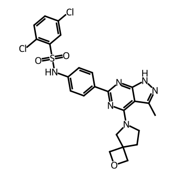 Cc1n[nH]c2nc(-c3ccc(NS(=O)(=O)c4cc(Cl)ccc4Cl)cc3)nc(N3CCC4(COC4)C3)c12